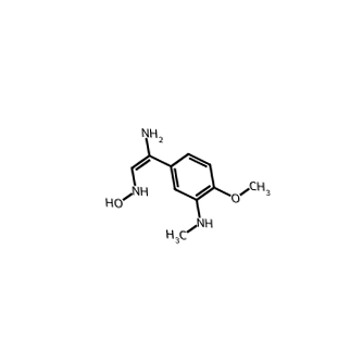 CNc1cc(/C(N)=C\NO)ccc1OC